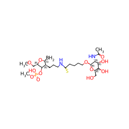 B[C@@H]1O[C@H](COC)C(OP(=O)(O)OC)[C@@H]1CCCNC(=S)CCCCO[C@@H]1O[C@H](CO)[C@H](O)[C@H](O)[C@H]1NC(C)=O